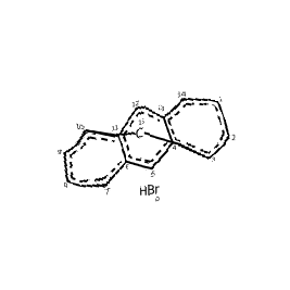 Br.c1cc2c3cc4cccc(c4cc3c1)C2